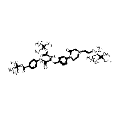 CC(C)(C)OC(=O)N[C@@H](Cc1ccc(N2CCN(CCO[Si](C)(C)C(C)(C)C)CC2=O)cc1)C(=O)Nc1ccc(C(=O)OC(C)(C)C)cc1